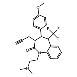 C#CCC1C(=O)N(CCN(C)C)c2ccccc2C(C(F)(F)F)C1c1ccc(OC)cc1